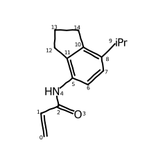 C=CC(=O)Nc1ccc(C(C)C)c2c1CCC2